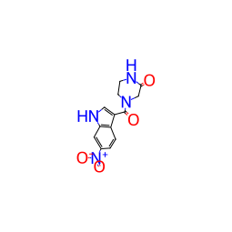 O=C1CN(C(=O)c2c[nH]c3cc([N+](=O)[O-])ccc23)CCN1